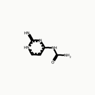 N=c1nc(NC(N)=O)cc[nH]1